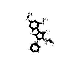 COc1cc(OC)c2c(c1)OC1C2C(O)C(NC=O)[C@H]1c1ccccc1